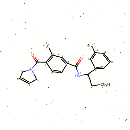 Cc1cc(C(=O)NC(CC(=O)O)c2cccc(C#N)c2)ccc1C(=O)N1CC=CC1